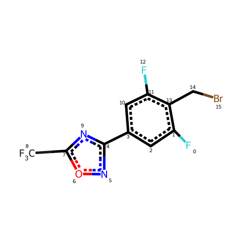 Fc1cc(-c2noc(C(F)(F)F)n2)cc(F)c1CBr